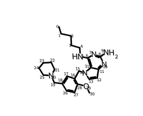 CCCCCNc1nc(N)nc2ccn(Cc3cc(CN4CCCCC4)ccc3OC)c12